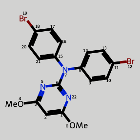 COc1cc(OC)nc(N(c2ccc(Br)cc2)c2ccc(Br)cc2)n1